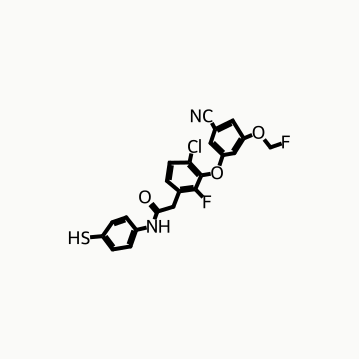 N#Cc1cc(OCF)cc(Oc2c(Cl)ccc(CC(=O)Nc3ccc(S)cc3)c2F)c1